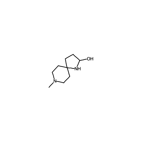 CN1CCC2(CCC(O)N2)CC1